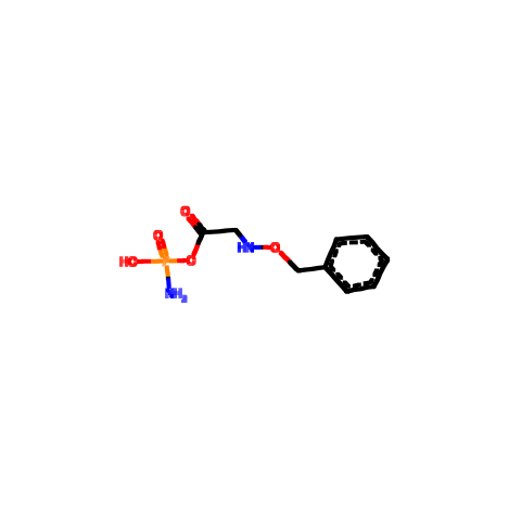 NP(=O)(O)OC(=O)CNOCc1ccccc1